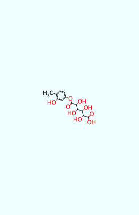 Cc1ccc(OC(=O)C(O)C(O)C(O)C(O)C(=O)O)cc1O